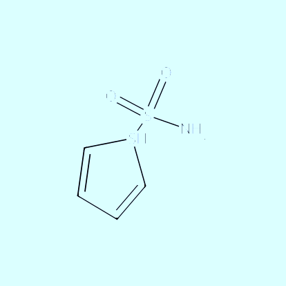 NS(=O)(=O)[SH]1C=CC=C1